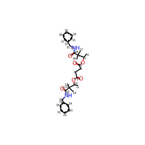 CC(OC(=O)CCC(=O)OC(C)C(C)(C)C(=O)NCc1ccccc1)C(C)(C)C(=O)NCc1ccccc1